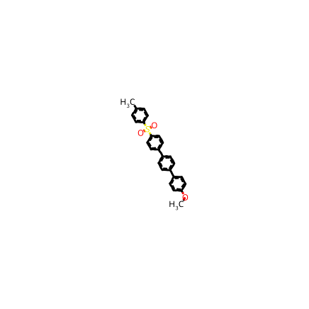 COc1ccc(-c2ccc(-c3ccc(S(=O)(=O)c4ccc(C)cc4)cc3)cc2)cc1